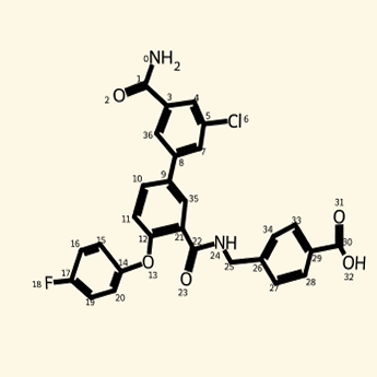 NC(=O)c1cc(Cl)cc(-c2ccc(Oc3ccc(F)cc3)c(C(=O)NCc3ccc(C(=O)O)cc3)c2)c1